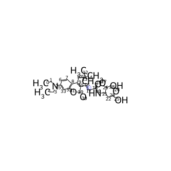 CCN(CC)c1ccc2c(CC(C)(C)C)c(/C=C/C(=O)NC(CC(=O)O)C(=O)O)c(=O)oc2c1